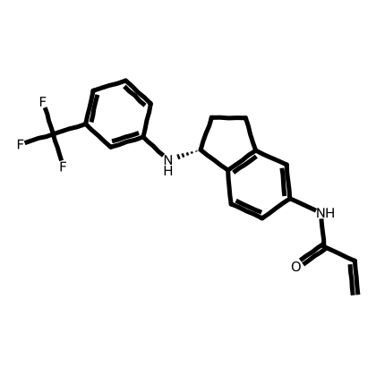 C=CC(=O)Nc1ccc2c(c1)CC[C@H]2Nc1cccc(C(F)(F)F)c1